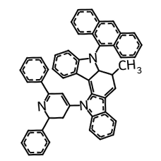 CC1C=c2c(n(C3=CC(c4ccccc4)=NC(c4ccccc4)C3)c3ccccc23)=C2c3ccccc3N(c3c4ccccc4cc4ccccc34)C21